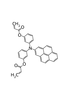 C=CC(=O)Oc1cccc(N(c2cccc(OC(=O)C=C)c2)c2cc3ccc4cccc5ccc(c2)c3c45)c1